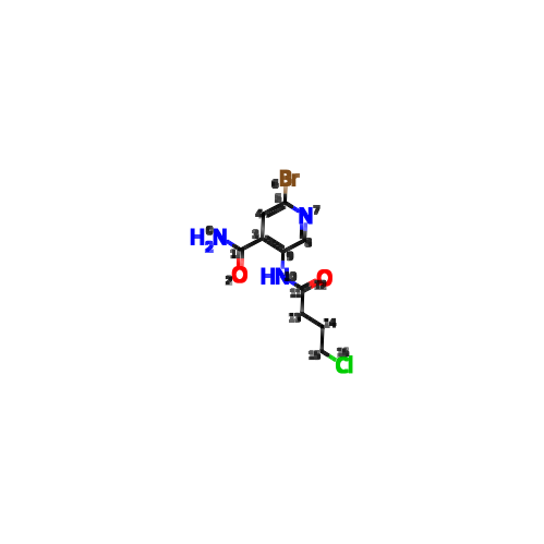 NC(=O)c1cc(Br)ncc1NC(=O)CCCCl